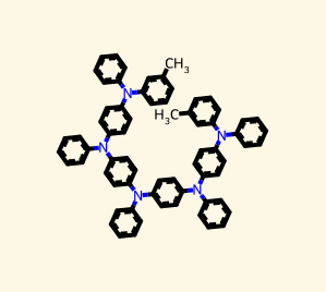 Cc1cccc(N(c2ccccc2)c2ccc(N(c3ccccc3)c3ccc(N(c4ccccc4)c4ccc(N(c5ccccc5)c5ccc(N(c6ccccc6)c6cccc(C)c6)cc5)cc4)cc3)cc2)c1